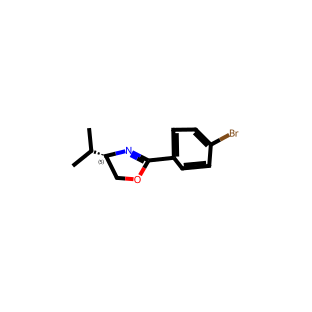 CC(C)[C@H]1COC(c2ccc(Br)cc2)=N1